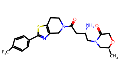 C[C@H]1CN(C[C@@H](N)CC(=O)N2CCc3sc(-c4ccc(C(F)(F)F)cc4)nc3C2)C(=O)CO1